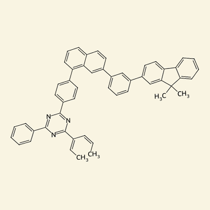 C/C=C\C(=C/C)c1nc(-c2ccccc2)nc(-c2ccc(-c3cccc4ccc(-c5cccc(-c6ccc7c(c6)C(C)(C)c6ccccc6-7)c5)cc34)cc2)n1